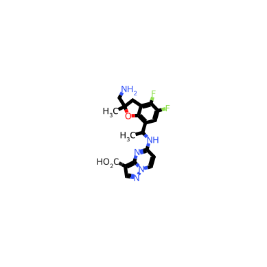 CC(Nc1ccn2ncc(C(=O)O)c2n1)c1cc(F)c(F)c2c1OC(C)(CN)C2